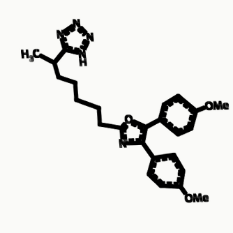 COc1ccc(-c2nc(CCCCCC(C)c3nnn[nH]3)oc2-c2ccc(OC)cc2)cc1